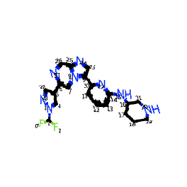 FC(F)n1cc(-c2cn3c(-c4cccc(NC5CCCNC5)n4)cnc3cn2)cn1